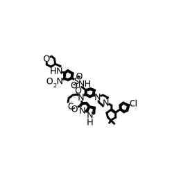 CC1(C)CCC(CN2CCN(c3ccc(C(=O)NS(=O)(=O)c4ccc(NCC5CCOCC5)c([N+](=O)[O-])c4)c(N4CCCCCOc5nc6[nH]ccc6cc54)c3)CC2)=C(c2ccc(Cl)cc2)C1